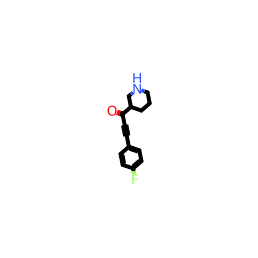 O=C(C#Cc1ccc(F)cc1)C1CCCNC1